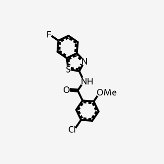 COc1ccc(Cl)cc1C(=O)Nc1nc2ccc(F)cc2s1